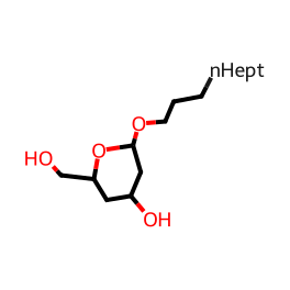 CCCCCCCCCCOC1CC(O)CC(CO)O1